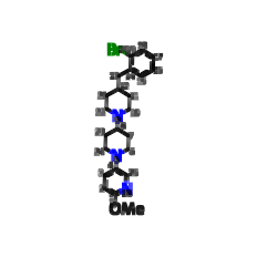 COc1ccc(N2CCC(N3CCC(Cc4ccccc4Br)CC3)CC2)cn1